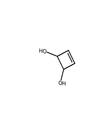 OC1C=CC1O